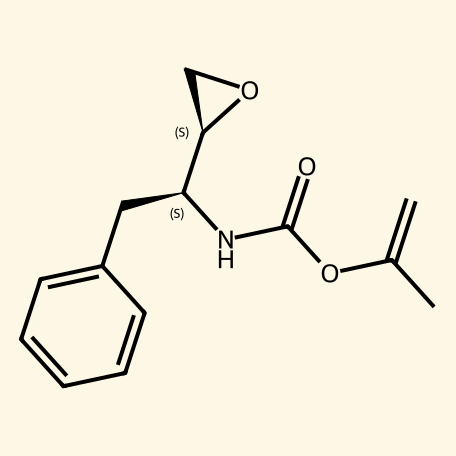 C=C(C)OC(=O)N[C@@H](Cc1ccccc1)[C@H]1CO1